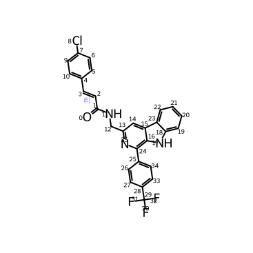 O=C(/C=C/c1ccc(Cl)cc1)NCc1cc2c([nH]c3ccccc32)c(-c2ccc(C(F)(F)F)cc2)n1